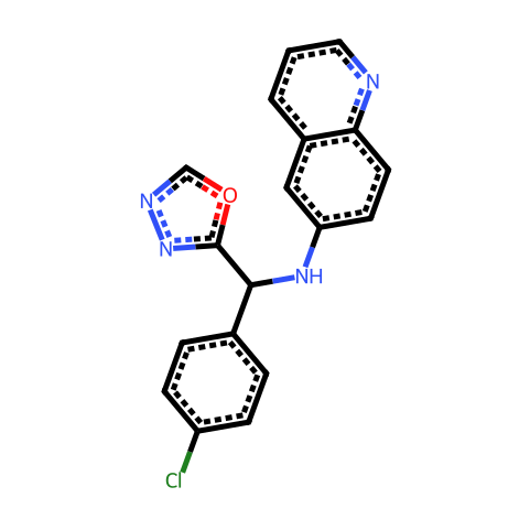 Clc1ccc(C(Nc2ccc3ncccc3c2)c2nnco2)cc1